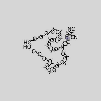 [C-]#[N+]c1sc(/N=N/c2ccc(N(CCOCC(C)OCC(C)OCC(C)OCC(C)OCC(C)OCC(C)OCC(C)OCCOCCOCCOCCO)CCOCC(C)OCC(C)OCC(C)OCC(C)OCC(C)OCC(C)OCC(C)OCCOCCOCCOCCO)cc2C)c(C#N)c1C